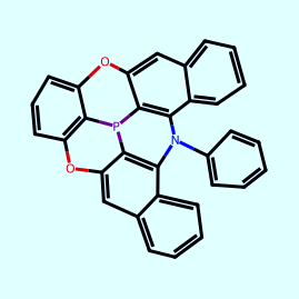 c1ccc(N2c3c4c(cc5ccccc35)Oc3cccc5c3P4c3c(cc4ccccc4c32)O5)cc1